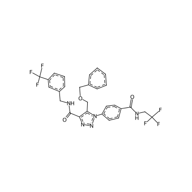 O=C(NCC(F)(F)F)c1ccc(-n2nnc(C(=O)NCc3cccc(C(F)(F)F)c3)c2COCc2ccccc2)cc1